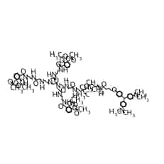 CCC(C)(CCNC(=O)CNCCN(CCN(CCNCC(=O)NCCNC(=O)c1cccc(OC(C)=O)c1OC(C)=O)CC(=O)NCCNC(=O)c1cccc(OC(C)=O)c1OC(C)=O)CC(=O)NCCNC(=O)c1cccc(OC(C)=O)c1OC(C)=O)COC(C)(CC)CCCNC(=O)CCCOc1ccc(C(c2ccc(N(C)C)cc2)c2ccc(N(C)C)cc2)cc1